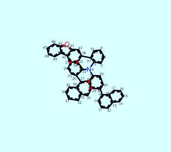 c1ccc(N(c2ccc(-c3cccc4ccccc34)cc2)c2ccccc2-c2cccc3ccccc23)c(-c2ccc3c(c2)oc2ccccc23)c1